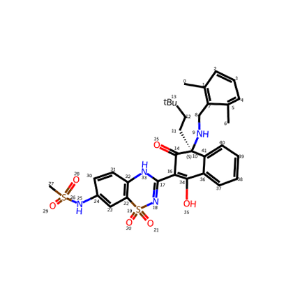 Cc1cccc(C)c1CN[C@]1(CCC(C)(C)C)C(=O)C(C2=NS(=O)(=O)c3cc(NS(C)(=O)=O)ccc3N2)=C(O)c2ccccc21